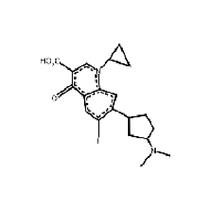 CN(C)C1CCC(c2cc3c(cc2F)c(=O)c(C(=O)O)cn3C2CC2)C1